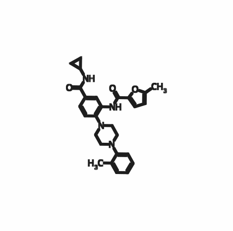 Cc1ccc(C(=O)Nc2cc(C(=O)NC3CC3)ccc2N2CCN(c3ccccc3C)CC2)o1